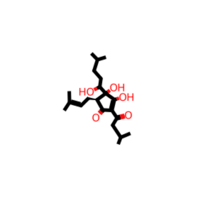 CC(C)=CC[C@@H]1C(=O)C(C(=O)CC(C)C)=C(O)C1(O)C(O)CCC(C)C